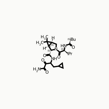 CC[C@H](C)C(=O)N[C@H](C(=O)N1C[C@H]2[C@@H]([C@H]1C(=O)NC(CC1CC1)C(=O)C(N)=O)C2(C)C)C(C)C